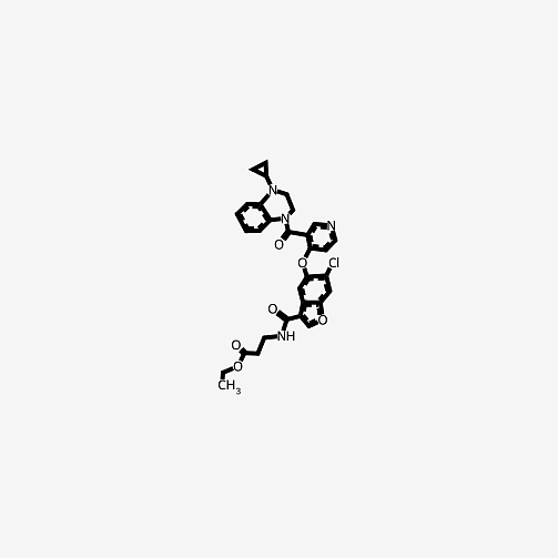 CCOC(=O)CCNC(=O)c1coc2cc(Cl)c(Oc3ccncc3C(=O)N3CCN(C4CC4)c4ccccc43)cc12